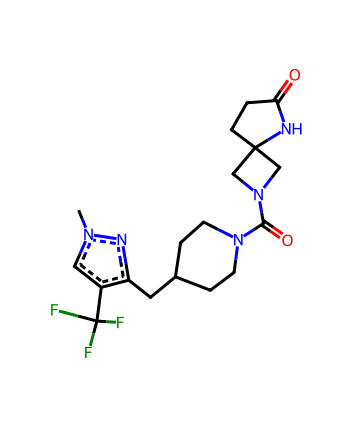 Cn1cc(C(F)(F)F)c(CC2CCN(C(=O)N3CC4(CCC(=O)N4)C3)CC2)n1